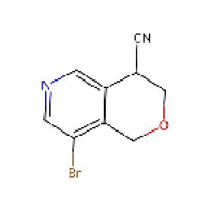 N#CC1COCc2c(Br)cncc21